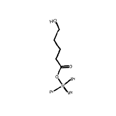 CC(C)[Si](OC(=O)CCCCO)(C(C)C)C(C)C